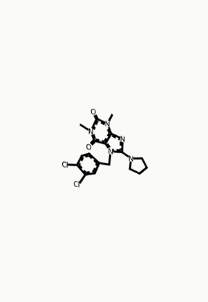 Cn1c(=O)c2c(nc(N3CCCC3)n2Cc2ccc(Cl)c(Cl)c2)n(C)c1=O